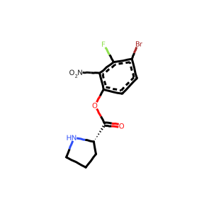 O=C(Oc1ccc(Br)c(F)c1[N+](=O)[O-])[C@@H]1CCCN1